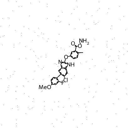 COc1ccc(-c2cc3nc(Oc4ccc(C)c(C(=O)ON)c4)[nH]c3cc2Cl)c(F)c1